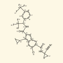 N#CC1(NC(=O)c2cc3cc(C(=O)NC(c4cccc(C(F)(F)F)c4)C(F)(F)F)n(C4CC4)c3cc2Cl)CC1